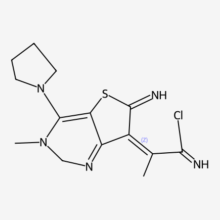 C/C(C(=N)Cl)=C1/C(=N)SC2=C(N3CCCC3)N(C)CN=C21